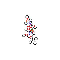 CC(C)c1cc(N(c2c(F)cccc2-c2cccc([Si](c3ccccc3)(c3ccccc3)c3ccccc3)c2)c2cccc3c2oc2ccccc23)c2ccc3c(C(C)C)cc(N(c4c(F)cccc4-c4cccc([Si](c5ccccc5)(c5ccccc5)c5ccccc5)c4)c4cccc5c4oc4ccccc45)c4ccc1c2c34